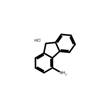 Cl.Nc1cccc2c1-c1ccccc1C2